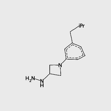 CC(C)Cc1cccc(N2CC(NN)C2)c1